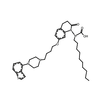 CCCCCCCCCCN(C(=O)O)N1C(=O)CCc2ccc(OCCCCN3CCN(c4cccc5sccc45)CC3)cc21